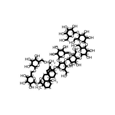 C=C=C1CC23CCC4C(C)(C(=O)OC5OC(COC6OC(CO)C(O)C(O)C6O)C(O)C(O)C5O)CCCC4(C)C2CCC1(OC1OC(CO)C(O)C(OC2OC(CO)C(OC4OC(CO)C(OC5OC(CO)C(OC6OC(CO)C(O)C(O)C6O)C(O)C5O)C(O)C4O)C(O)C2O)C1OC1OC(CO)C(O)C(O)C1O)C3